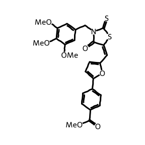 COC(=O)c1ccc(-c2ccc(/C=C3/SC(=S)N(Cc4cc(OC)c(OC)c(OC)c4)C3=O)o2)cc1